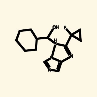 OC(C1CCCCC1)[SH]1C(C2(F)CC2)=Nc2cncn21